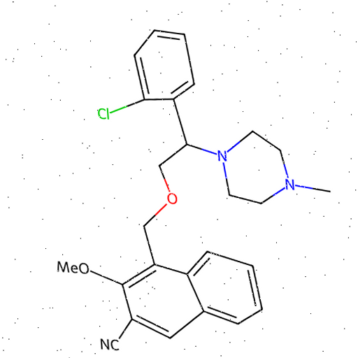 COc1c(C#N)cc2ccccc2c1COCC(c1ccccc1Cl)N1CCN(C)CC1